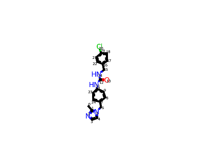 Cc1nccn1Cc1ccc(NC(=O)NCc2ccc(Cl)cc2)cc1